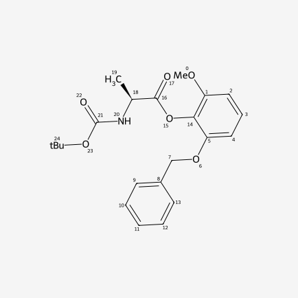 COc1cccc(OCc2ccccc2)c1OC(=O)[C@H](C)NC(=O)OC(C)(C)C